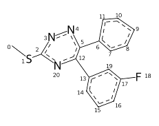 CSc1nnc(-c2ccccc2)c(-c2cccc(F)c2)n1